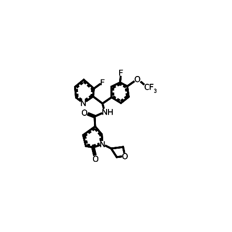 O=C(NC(c1ccc(OC(F)(F)F)c(F)c1)c1ncccc1F)c1ccc(=O)n(C2COC2)c1